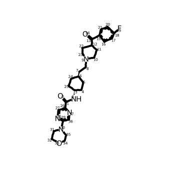 O=C(N[C@H]1CC[C@H](CCN2CCC(C(=O)c3ccc(F)cc3)CC2)CC1)c1cnc(N2CCOCC2)cn1